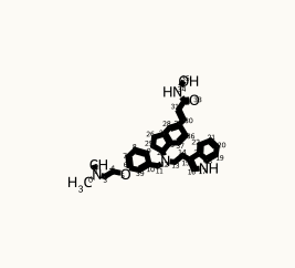 CN(C)CCOc1cccc(CN(CCc2c[nH]c3ccccc23)C2CCc3cc(/C=C/C(=O)NO)ccc32)c1